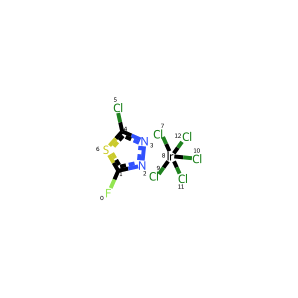 Fc1nnc(Cl)s1.[Cl][Ir]([Cl])([Cl])([Cl])[Cl]